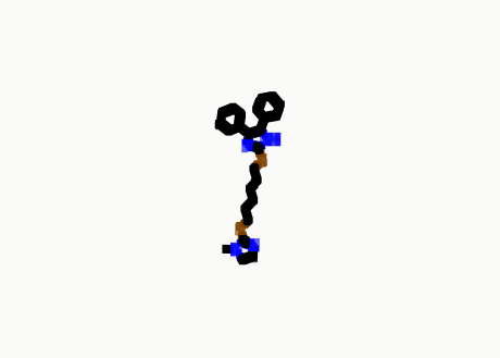 Cn1ccnc1SCCCCCCSc1nc(-c2ccccc2)c(-c2ccccc2)[nH]1